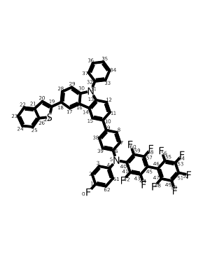 Fc1ccc(N(c2ccc(-c3ccc4c(c3)c3cc(-c5cc6ccccc6s5)ccc3n4-c3ccccc3)cc2)c2c(F)c(F)c(-c3c(F)c(F)c(F)c(F)c3F)c(F)c2F)cc1